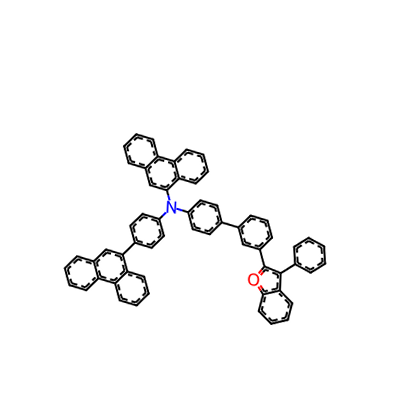 c1ccc(-c2c(-c3cccc(-c4ccc(N(c5ccc(-c6cc7ccccc7c7ccccc67)cc5)c5cc6ccccc6c6ccccc56)cc4)c3)oc3ccccc23)cc1